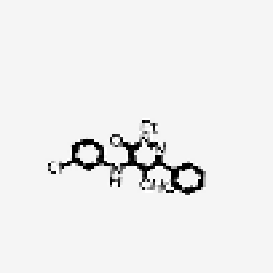 CCn1nc(-c2ccccc2)c(C=O)c(Nc2cccc(Cl)c2)c1=O